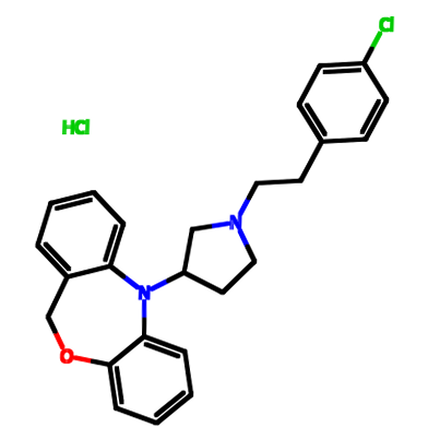 Cl.Clc1ccc(CCN2CCC(N3c4ccccc4COc4ccccc43)C2)cc1